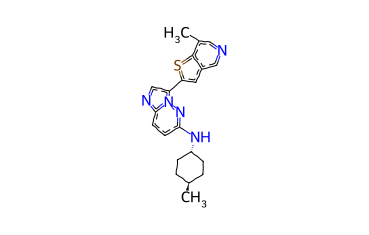 Cc1cncc2cc(-c3cnc4ccc(N[C@H]5CC[C@H](C)CC5)nn34)sc12